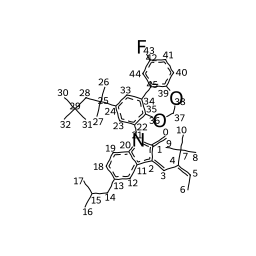 C=c1/c(=C\C(=C/C)C(C)(C)C)c2cc(CC(C)C)ccc2n1-c1cc(C(C)(C)CC(C)(C)C)cc2c1OCOc1ccc(F)cc1-2